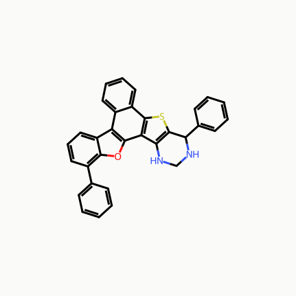 c1ccc(-c2cccc3c2oc2c4c5c(sc4c4ccccc4c32)C(c2ccccc2)NCN5)cc1